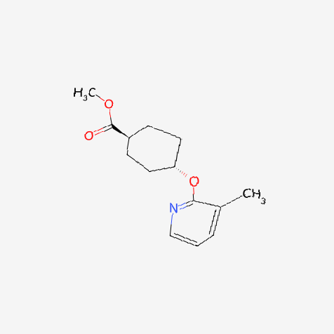 COC(=O)[C@H]1CC[C@H](Oc2ncccc2C)CC1